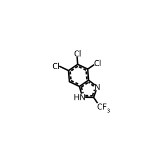 FC(F)(F)c1nc2c(Cl)c(Cl)c(Cl)cc2[nH]1